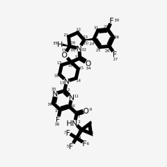 O=C(NC1(C(F)(F)F)CC1)c1nc(N2CCC3(CC2)O[C@@H]2CC[C@@H](c4cc(F)cc(F)c4)N2C3=O)ncc1F